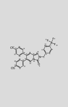 O=c1n(Cc2ccc(C(F)(F)F)nc2)nc2cc(-c3ccc(Cl)cc3)c(-c3ccc(Cl)cc3)nn12